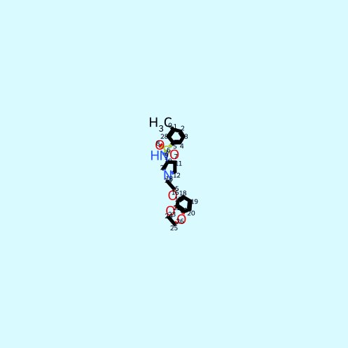 Cc1cccc(S(=O)(=O)NC2CCN(CCOc3cccc4c3OCCO4)C2)c1